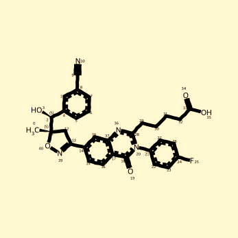 C[C@@]1([C@@H](O)c2cccc(C#N)c2)CC(c2ccc3c(=O)n(-c4ccc(F)cc4)c(CCCCC(=O)O)nc3c2)=NO1